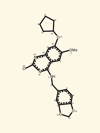 COc1cc2c(NCc3ccc4c(c3)OCO4)nc(Cl)nc2cc1OC1CCCC1